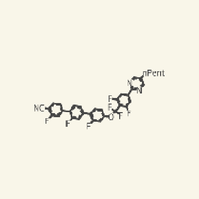 CCCCCc1cnc(-c2cc(F)c(C(F)(F)Oc3ccc(-c4ccc(-c5ccc(C#N)c(F)c5)c(F)c4)c(F)c3)c(F)c2)nc1